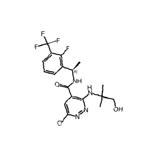 C[C@@H](NC(=O)c1cc(Cl)nnc1NC(C)(C)CO)c1cccc(C(F)(F)F)c1F